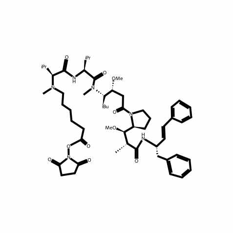 CC[C@H](C)[C@@H]([C@@H](CC(=O)N1CCC[C@H]1[C@H](OC)[C@@H](C)C(=O)N[C@H](C=Cc1ccccc1)Cc1ccccc1)OC)N(C)C(=O)[C@@H](NC(=O)[C@H](C(C)C)N(C)CCCCCC(=O)ON1C(=O)CCC1=O)C(C)C